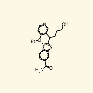 CCOc1ccncc1C(CCCO)c1nc2ccc(C(N)=O)cc2s1